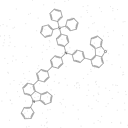 c1ccc(-n2c3ccccc3c3c(-c4ccc(-c5ccc(N(c6ccc(-c7cccc8oc9ccccc9c78)cc6)c6ccc([Si](c7ccccc7)(c7ccccc7)c7ccccc7)cc6)cc5)cc4)cccc32)cc1